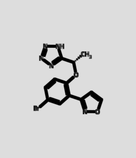 C[C@H](Oc1ccc(Br)cc1-c1ccon1)c1nnn[nH]1